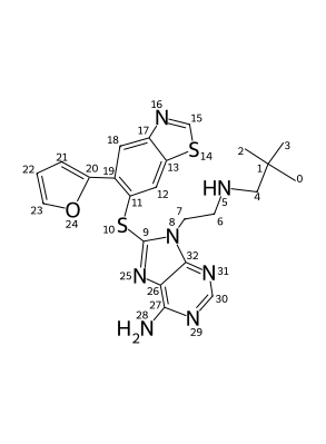 CC(C)(C)CNCCn1c(Sc2cc3scnc3cc2-c2ccco2)nc2c(N)ncnc21